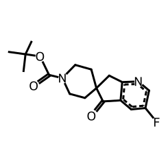 CC(C)(C)OC(=O)N1CCC2(CC1)Cc1ncc(F)cc1C2=O